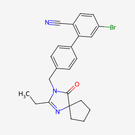 CCC1=NC2(CCCC2)C(=O)N1Cc1ccc(-c2cc(Br)ccc2C#N)cc1